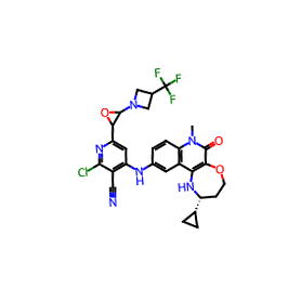 Cn1c(=O)c2c(c3cc(Nc4cc(C5OC5N5CC(C(F)(F)F)C5)nc(Cl)c4C#N)ccc31)N[C@@H](C1CC1)CCO2